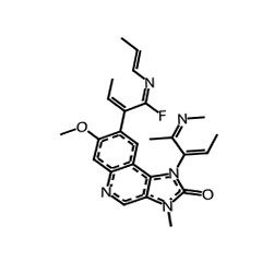 C\C=C(/C(F)=N\C=C\C)c1cc2c(cc1OC)ncc1c2n(C(=C/C)/C(C)=N\C)c(=O)n1C